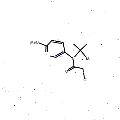 C=C(/C=C\C(=C/C)N(C(=O)CCl)C(C)(C)CC)OC